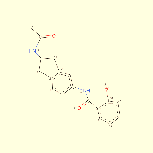 CC(=O)NC1Cc2ccc(NC(=O)c3ccccc3Br)cc2C1